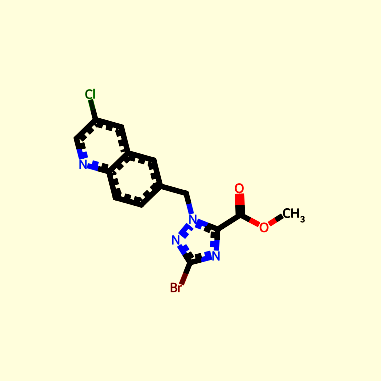 COC(=O)c1nc(Br)nn1Cc1ccc2ncc(Cl)cc2c1